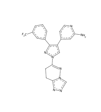 Nc1cc(-c2cn(C3=Nn4cnnc4CC3)nc2-c2cccc(C(F)(F)F)c2)ccn1